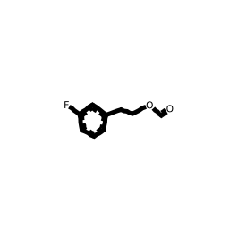 O=COCCc1cccc(F)c1